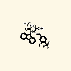 COC(=O)N(C1c2ccccc2-c2ccccc21)[C@@H](CCc1ccc(C(F)(F)F)c(F)c1)C(=O)O